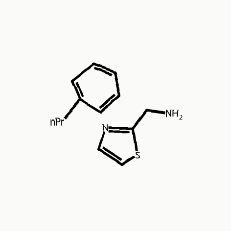 CCCc1ccccc1.NCc1nccs1